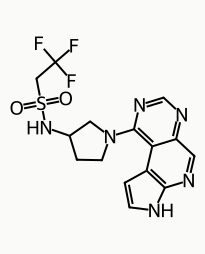 O=S(=O)(CC(F)(F)F)NC1CCN(c2ncnc3cnc4[nH]ccc4c23)C1